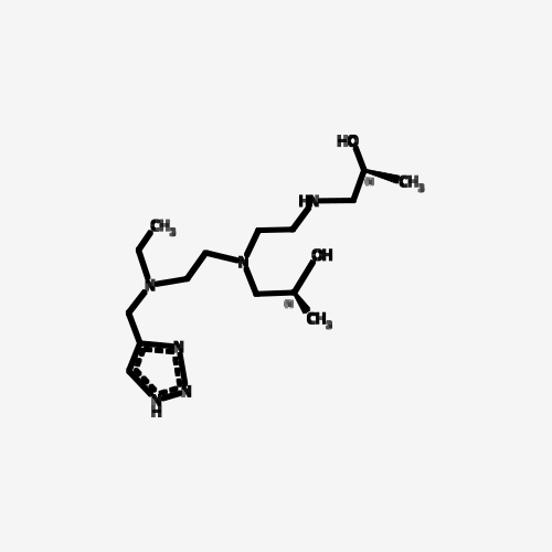 CCN(CCN(CCNC[C@H](C)O)C[C@H](C)O)Cc1c[nH]nn1